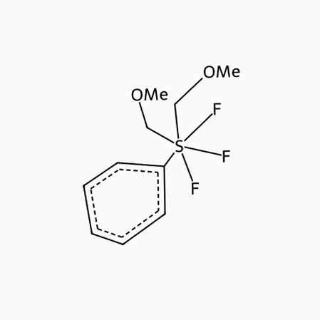 COCS(F)(F)(F)(COC)c1ccccc1